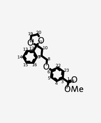 COC(=O)c1ccc(OCCCC2(c3ccccc3)OCCO2)cc1